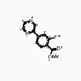 COC(=O)c1ccc(-c2cnccn2)cc1F